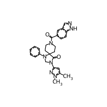 Cc1cc(N2CN(c3ccccc3)C3(CCN(C(=O)c4ccc5[nH]ncc5c4)CC3)C2=O)nn1C